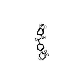 O=C(Nc1ccc2ncoc2c1)c1ccc(N2COCCS2(=O)=O)cc1